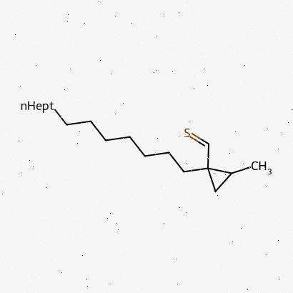 CCCCCCCCCCCCCCC1(C=S)CC1C